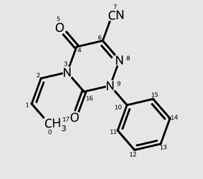 C/C=C\n1c(=O)c(C#N)nn(-c2ccccc2)c1=O